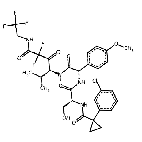 COc1ccc([C@H](NC(=O)[C@H](CO)NC(=O)C2(c3cccc(Cl)c3)CC2)C(=O)N[C@H](C(=O)C(F)(F)C(=O)NCC(F)(F)F)C(C)C)cc1